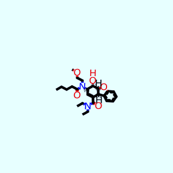 CCCCC(=O)N(CCOC)[C@@H]1C=C(C(=O)N(CC)CC)[C@@H]2c3ccccc3O[C@@H]2[C@H]1O